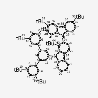 CC(C)(C)c1cc(-c2cc(-c3cc(C(C)(C)C)cc(C(C)(C)C)c3)cc(-n3c4ccccc4c4ccc(-n5c6ccc(C(C)(C)C)cc6c6cc(C(C)(C)C)ccc65)c(C(C)(C)C)c43)c2)cc(C(C)(C)C)c1